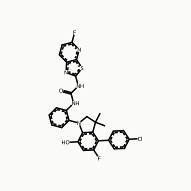 CC1(C)CN(c2ccccc2NC(=O)Nc2nc3ccc(F)nc3s2)c2c(O)cc(F)c(-c3ccc(Cl)cc3)c21